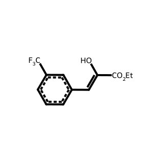 CCOC(=O)/C(O)=C/c1cccc(C(F)(F)F)c1